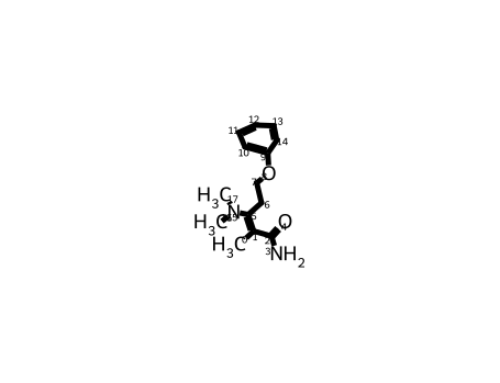 CC(C(N)=O)=C(CCOc1ccccc1)N(C)C